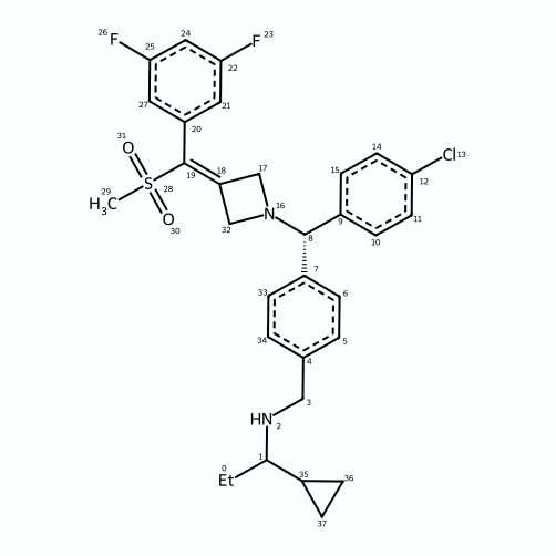 CCC(NCc1ccc([C@@H](c2ccc(Cl)cc2)N2CC(=C(c3cc(F)cc(F)c3)S(C)(=O)=O)C2)cc1)C1CC1